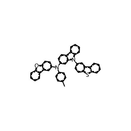 Cc1ccc(N(c2ccc3oc4ccccc4c3c2)c2ccc3c4ccccc4n(-c4ccc5sc6ccccc6c5c4)c3c2)cc1